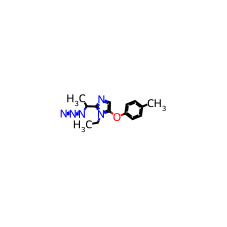 CCn1c(Oc2ccc(C)cc2)cnc1C(C)N=[N+]=[N-]